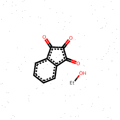 CCO.O=c1c(=O)c2ccccc2c1=O